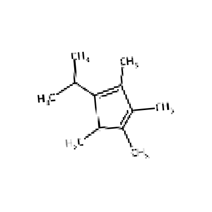 C[C]1C(C)=C(C)C(C)=C1C(C)C